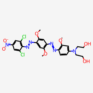 COc1cc(N(CCO)CCO)ccc1N=Nc1cc(OC)c(N=Nc2c(Cl)cc([N+](=O)[O-])cc2Cl)cc1OC